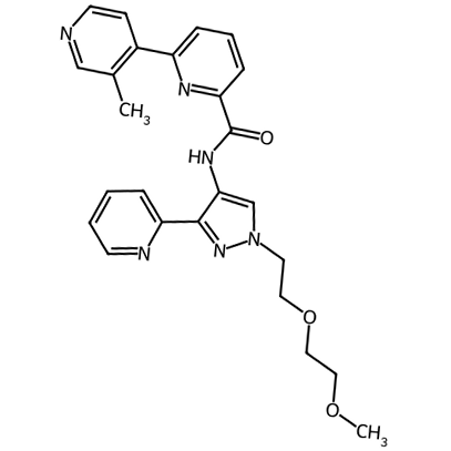 COCCOCCn1cc(NC(=O)c2cccc(-c3ccncc3C)n2)c(-c2ccccn2)n1